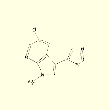 Cn1cc(-c2cncs2)c2cc(Cl)cnc21